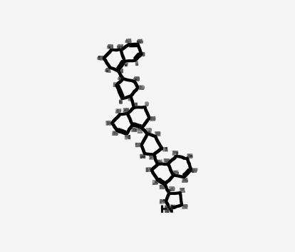 C1=CC2=C(C3C=CC(C4CCC(C5CCC(C6CC=C(C7CCNC7)C7C=CCCC76)CC5)=C5C=CCCC54)CC3)CCCC2C=C1